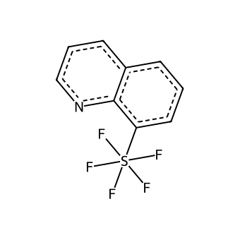 FS(F)(F)(F)(F)c1cccc2cccnc12